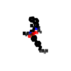 CN(C[C@H](O)CNC(C)(C)Cc1ccc2ccccc2c1)S(=O)(=O)c1ccc(-c2ccc(CCC(=O)O)cc2)cc1